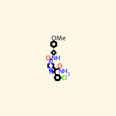 COc1ccc([C@H]2C[C@@H](NC(=O)N3CCn4nc(-c5cccc(Cl)c5)c(C(N)=O)c4C3)C2)cc1